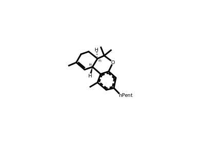 CCCCCc1cc(C)c2c(c1)OC(C)(C)[C@@H]1CCC(C)=C[C@@H]21